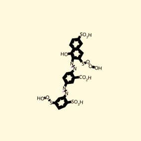 O=C(O)c1cc(/N=N/c2cc(SOO)ccc2S(=O)(=O)O)ccc1/N=N/c1c(SOOO)cc2cc(S(=O)(=O)O)ccc2c1O